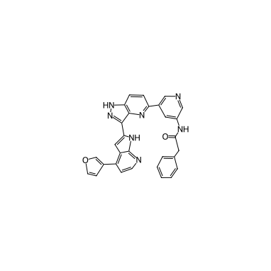 O=C(Cc1ccccc1)Nc1cncc(-c2ccc3[nH]nc(-c4cc5c(-c6ccoc6)ccnc5[nH]4)c3n2)c1